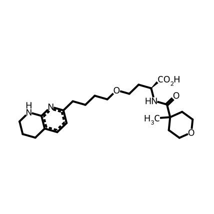 CC1(C(=O)N[C@@H](CCOCCCCc2ccc3c(n2)NCCC3)C(=O)O)CCOCC1